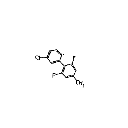 Cc1cc(F)c(-c2[c]ccc(Cl)c2)c(F)c1